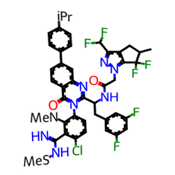 CNc1c(-n2c(C(Cc3cc(F)cc(F)c3)NC(=O)Cn3nc(C(F)F)c4c3C(F)(F)C(C)C4)nc3cc(-c4ccc(C(C)C)cc4)ccc3c2=O)ccc(Cl)c1C(=N)NSC